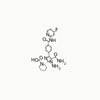 NC(=O)c1c(-c2ccc(C(=O)Nc3cc(F)ccn3)cc2)nc([C@@H]2CCCCN2C(=O)O)n1N